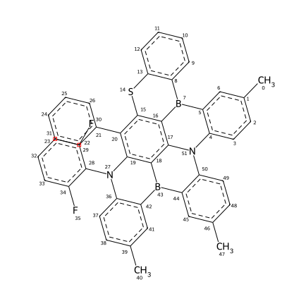 Cc1ccc2c(c1)B1c3ccccc3Sc3c1c1c4c(c3-c3ccccc3)N(c3c(F)cccc3F)c3ccc(C)cc3B4c3cc(C)ccc3N21